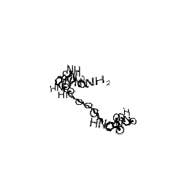 CC1(N)CCN(c2cnc(Sc3cccc(NC(=O)CC(=O)NCCCOCCOCCOCCCNc4ccc5c(c4)C(=O)N(C4CCC(=O)NC4=O)C5=O)c3Cl)c(N)n2)CC1